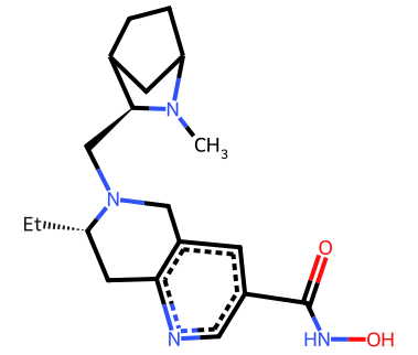 CC[C@H]1Cc2ncc(C(=O)NO)cc2CN1C[C@H]1C2CCC(C2)N1C